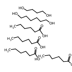 CCCCCC(=O)O.CCCCCC(=O)O.CCCCCC(=O)O.CCCCCC(=O)O.OCCCCCCO.OCCCCO